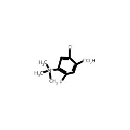 C[N+](C)(C)c1cc(Cl)c(C(=O)O)cc1F